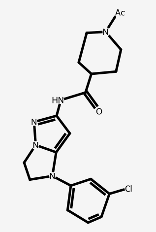 CC(=O)N1CCC(C(=O)Nc2cc3n(n2)CCN3c2cccc(Cl)c2)CC1